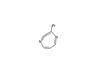 CC(C)C1=C=NC=CC=N1